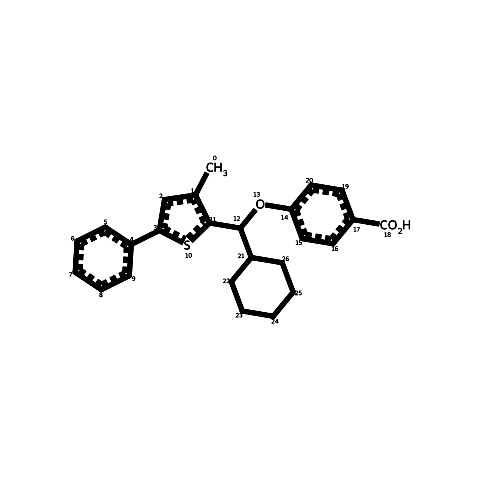 Cc1cc(-c2ccccc2)sc1C(Oc1ccc(C(=O)O)cc1)C1CCCCC1